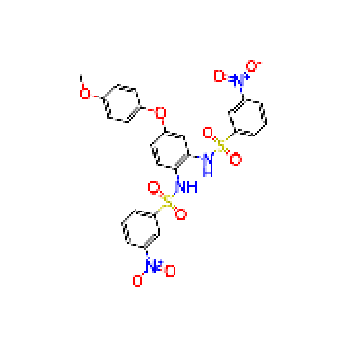 COc1ccc(Oc2ccc(NS(=O)(=O)c3cccc([N+](=O)[O-])c3)c(NS(=O)(=O)c3cccc([N+](=O)[O-])c3)c2)cc1